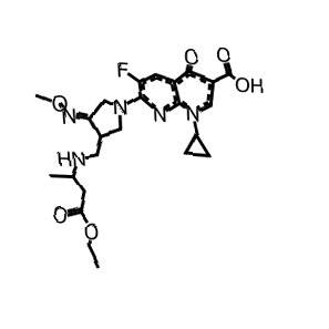 CCOC(=O)CC(C)NCC1CN(c2nc3c(cc2F)c(=O)c(C(=O)O)cn3C2CC2)CC1=NOC